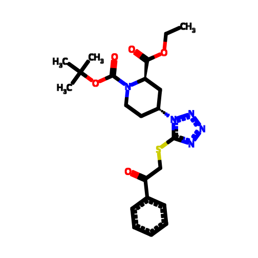 CCOC(=O)[C@H]1C[C@H](n2nnnc2SCC(=O)c2ccccc2)CCN1C(=O)OC(C)(C)C